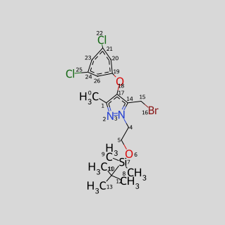 Cc1nn(CCO[Si](C)(C)C(C)(C)C)c(CBr)c1Oc1cc(Cl)cc(Cl)c1